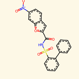 O=C(NS(=O)(=O)c1ccccc1-c1ccccc1)c1cc2ccc([N+](=O)[O-])cc2o1